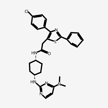 CN(C)c1ccnc(N[C@H]2CC[C@@H](NC(=O)Cc3sc(-c4ccccc4)nc3-c3ccc(Cl)cc3)CC2)n1